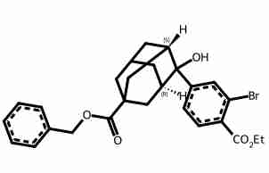 CCOC(=O)c1ccc(C2(O)[C@@H]3CC4C[C@H]2CC(C(=O)OCc2ccccc2)(C4)C3)cc1Br